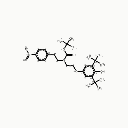 CC(C)(C)OC(=O)N(CCOc1cc(C(C)(C)C)c(O)c(C(C)(C)C)c1)CCc1ccc([N+](=O)[O-])cc1